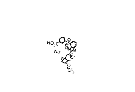 Cc1c(OCC(F)(F)F)ccnc1C[S+]([O-])c1nc2cccc(S(=O)(=O)c3cccc(C(=O)O)c3)c2[nH]1.[Na]